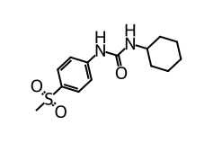 CS(=O)(=O)c1ccc(NC(=O)NC2CCCCC2)cc1